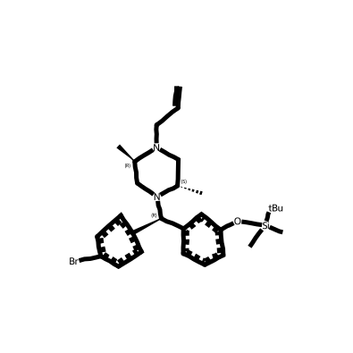 C=CCN1C[C@H](C)N([C@H](c2ccc(Br)cc2)c2cccc(O[Si](C)(C)C(C)(C)C)c2)C[C@H]1C